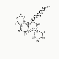 [Cl-].[Cl-].[Cl-].[Cl-].[Hf+4].c1ccc2c(c1)ccc1c3c(ccc12)CCCC3